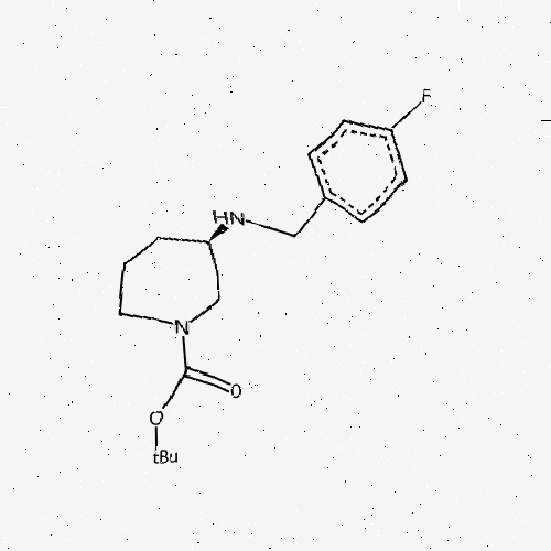 CC(C)(C)OC(=O)N1CCC[C@@H](NCc2ccc(F)cc2)C1